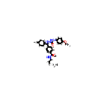 CCC1CCC(C(NC(=O)Nc2ccc(OC(F)(F)F)cc2)c2ccc(C(=O)NCCC(=O)O)cc2)CC1